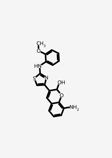 COc1ccccc1Nc1nc(C2=Cc3cccc(N)c3OC2O)cs1